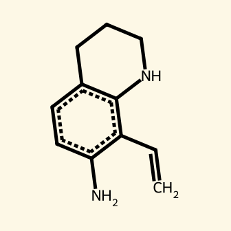 C=Cc1c(N)ccc2c1NCCC2